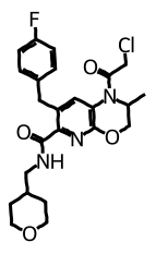 CC1COc2nc(C(=O)NCC3CCOCC3)c(Cc3ccc(F)cc3)cc2N1C(=O)CCl